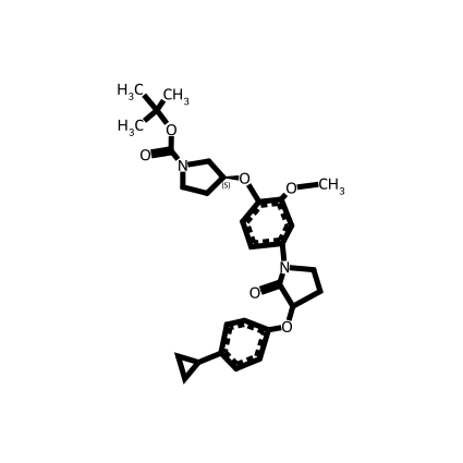 COc1cc(N2CCC(Oc3ccc(C4CC4)cc3)C2=O)ccc1O[C@H]1CCN(C(=O)OC(C)(C)C)C1